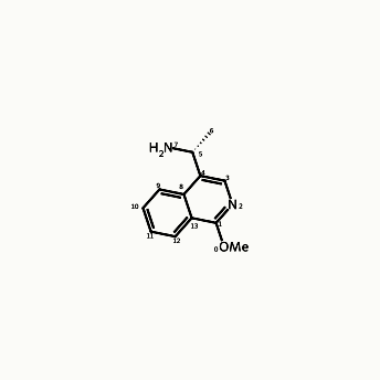 COc1ncc([C@@H](C)N)c2ccccc12